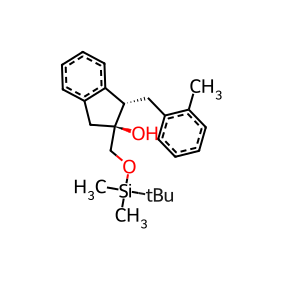 Cc1ccccc1C[C@H]1c2ccccc2C[C@@]1(O)CO[Si](C)(C)C(C)(C)C